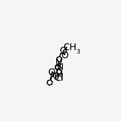 CCOC(=O)CC1CCN(c2ccc3c(C(=O)NCC4CCCCC4)c(Cl)ccc3n2)CC1